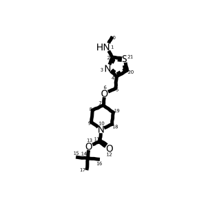 CNc1nc(COC2CCN(C(=O)OC(C)(C)C)CC2)cs1